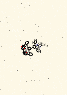 C=N/C=N\C(=C/C)c1c(-c2ccncn2)cc(-c2cc(-n3c4ccccc4c4ccccc43)c(-n3c4ccccc4c4ccccc43)c(-n3c4ccccc4c4ccccc43)c2)cc1-c1ccncn1